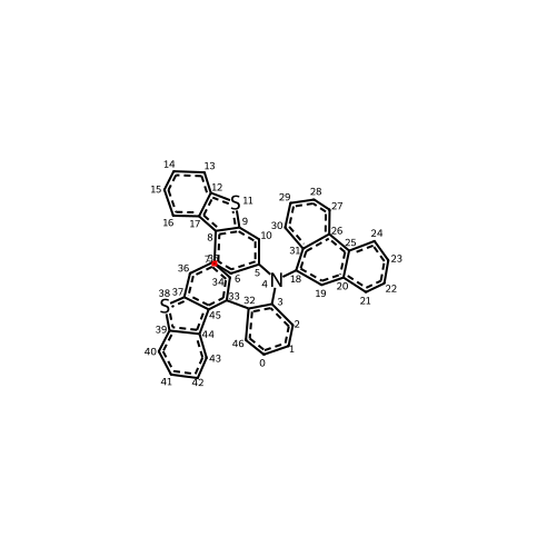 c1ccc(N(c2ccc3c(c2)sc2ccccc23)c2cc3ccccc3c3ccccc23)c(-c2cccc3sc4ccccc4c23)c1